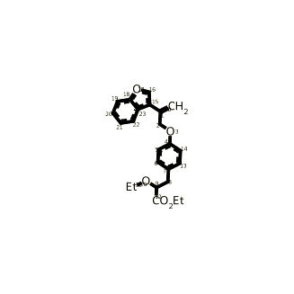 C=C(COc1ccc(CC(OCC)C(=O)OCC)cc1)c1coc2ccccc12